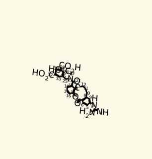 N=C(N)Nc1ccc2c(c1)CCCCc1c(cccc1C(=O)N(CC(=O)O)Cc1cc(C(=O)O)cc(C(=O)O)c1)OC2=O